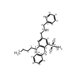 CCCCNc1cc(CNCc2ccccn2)cc(S(N)(=O)=O)c1Oc1ccccc1